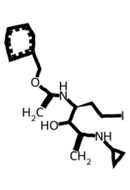 C=C(N[C@@H](CCI)C(O)C(=C)NC1CC1)OCc1ccccc1